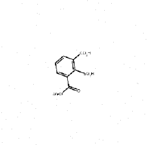 COC(=O)c1cccc(C(=O)O)c1S(=O)(=O)O